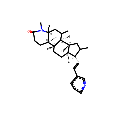 CC1C[C@H]2N(C)C(=O)CC[C@]2(C)[C@H]2CC[C@]3(C)[C@@H](C=Cc4cccnc4)C(C)C[C@H]3[C@H]12